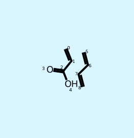 C=CC(=O)O.C=CC=C